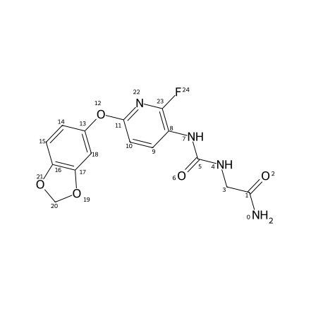 NC(=O)CNC(=O)Nc1ccc(Oc2ccc3c(c2)OCO3)nc1F